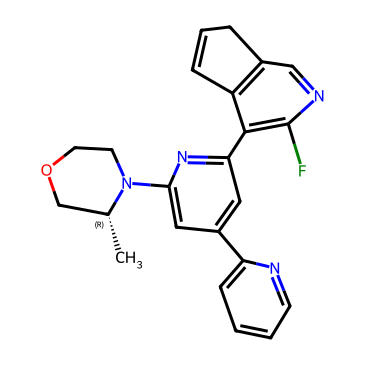 C[C@@H]1COCCN1c1cc(-c2ccccn2)cc(-c2c(F)ncc3c2C=CC3)n1